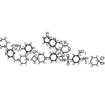 COc1cc(CN2CCN([C@H]3CC4(CCN(c5ccc(C(=O)NS(=O)(=O)c6ccc(NC[C@H]7CC[C@](C)(O)CC7)c([N+](=O)[O-])c6)c(N6c7cc8cc[nH]c8nc7O[C@H]7COCC[C@@H]76)c5)CC4)[C@H]3C)[C@H](c3ccccc3C)C2)cnc1N1CCOCC1